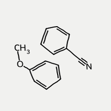 COc1ccccc1.N#Cc1ccccc1